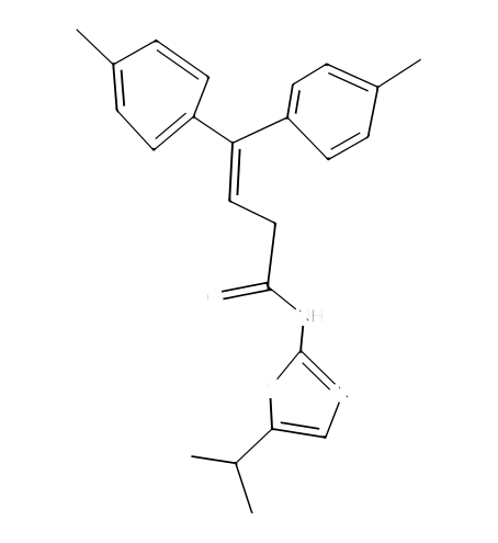 Cc1ccc(C(=CCC(=O)Nc2ncc(C(C)C)s2)c2ccc(C)cc2)cc1